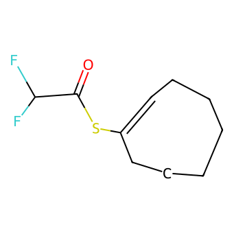 O=C(SC1=CCCCCCC1)C(F)F